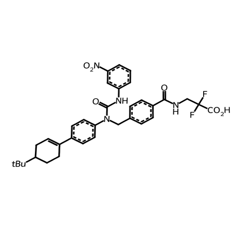 CC(C)(C)C1CC=C(c2ccc(N(Cc3ccc(C(=O)NCC(F)(F)C(=O)O)cc3)C(=O)Nc3cccc([N+](=O)[O-])c3)cc2)CC1